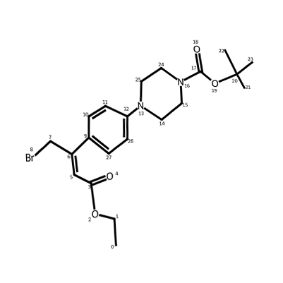 CCOC(=O)/C=C(/CBr)c1ccc(N2CCN(C(=O)OC(C)(C)C)CC2)cc1